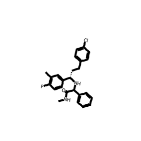 CNC(=O)C(N[C@@H](CCc1ccc(Cl)cc1)c1ccc(F)c(C)c1)c1ccccc1